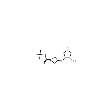 CC(C)(C)OC(=O)N1CC(O[C@H]2CNC[C@@H]2O)C1